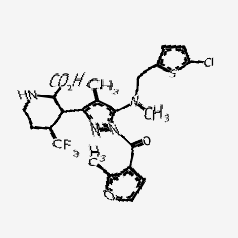 Cc1occc1C(=O)n1nc(C2C(C(=O)O)NCCC2C(F)(F)F)c(C)c1N(C)Cc1ccc(Cl)s1